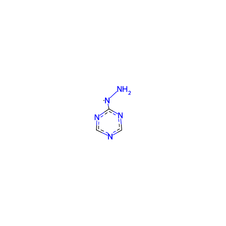 N[N]c1ncncn1